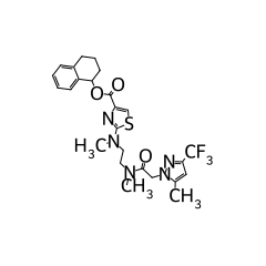 Cc1cc(C(F)(F)F)nn1CC(=O)N(C)CCN(C)c1nc(C(=O)OC2CCCc3ccccc32)cs1